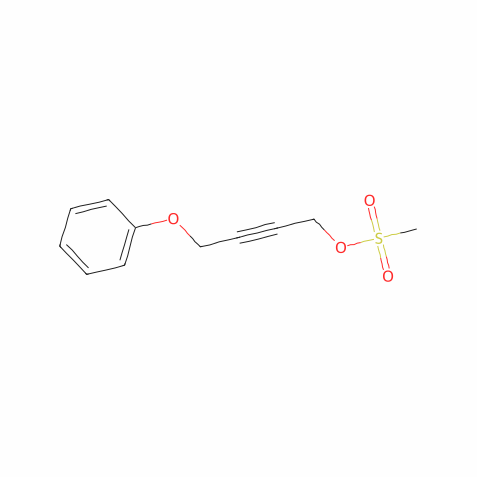 CS(=O)(=O)OCC#CCOc1ccccc1